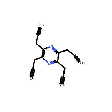 C#CCc1nc(CC#C)c(CC#C)nc1CC#C